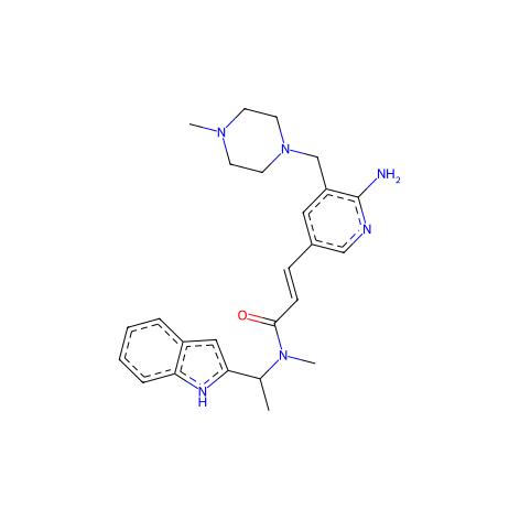 CC(c1cc2ccccc2[nH]1)N(C)C(=O)C=Cc1cnc(N)c(CN2CCN(C)CC2)c1